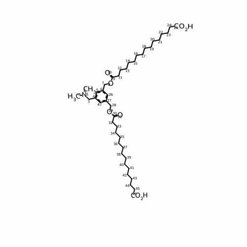 CN(C)Cc1cc(COC(=O)CCCCCCCCCCCCCCC(=O)O)cc(COC(=O)CCCCCCCCCCCCCCC(=O)O)c1